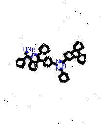 N=C/C(C1=CCCC=C1)=C1\NC(C2=CCCC=C2)=C(c2ccc(-c3nc(C4=CCCC=C4)nc(-c4ccc5c6c(c7c(c5c4)C=CCC7)CCC=C6)n3)cc2)c2ccccc21